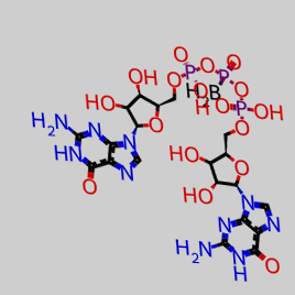 BP(=O)(OP(=O)(O)OC[C@H]1O[C@@H](n2cnc3c(=O)[nH]c(N)nc32)[C@@H](O)C1O)OP(=O)(O)OC[C@H]1O[C@@H](n2cnc3c(=O)[nH]c(N)nc32)C(O)[C@H]1O